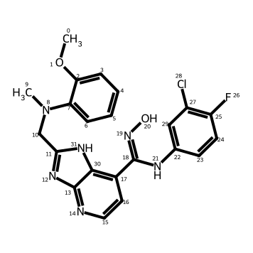 COc1ccccc1N(C)Cc1nc2nccc(C(=NO)Nc3ccc(F)c(Cl)c3)c2[nH]1